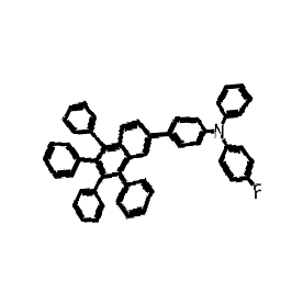 Fc1ccc(N(c2ccccc2)c2ccc(-c3ccc4c(-c5ccccc5)c(-c5ccccc5)c(-c5ccccc5)c(-c5ccccc5)c4c3)cc2)cc1